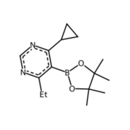 CCc1ncnc(C2CC2)c1B1OC(C)(C)C(C)(C)O1